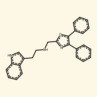 c1ccc(-c2nc(CNCCc3c[nH]c4ccccc34)oc2-c2ccccc2)cc1